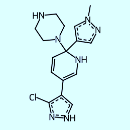 Cn1cc(C2(N3CCNCC3)C=CC(c3c[nH]nc3Cl)=CN2)cn1